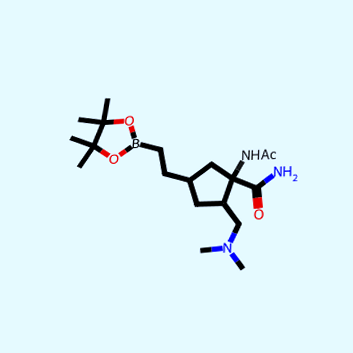 CC(=O)NC1(C(N)=O)CC(CCB2OC(C)(C)C(C)(C)O2)CC1CN(C)C